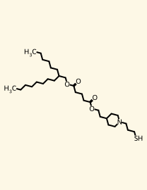 CCCCCCCCC(CCCCCC)COC(=O)CCCC(=O)OCCC1CCN(CCCS)CC1